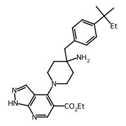 CCOC(=O)c1cnc2[nH]ncc2c1N1CCC(N)(Cc2ccc(C(C)(C)CC)cc2)CC1